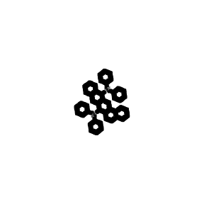 c1ccc(N(c2ccccc2)c2c3ccccc3cc3c(N(c4ccccc4)c4ccccc4)c4ccc5ccccc5c4cc23)cc1